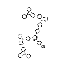 N#Cc1ccc(-c2nc(-c3ccc(-c4ccc(-n5c6ccccc6c6ccc(-c7ccc8c(c7)c7ccccc7n8-c7ccccc7)cc65)cc4)cc3)cc(-c3ccc(-n4c5ccccc5c5ccc(-c6ccc7c(c6)c6ccccc6n7-c6ccccc6)cc54)cc3)n2)cc1